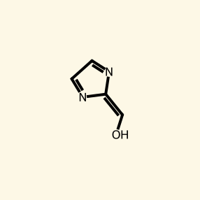 OC=C1N=CC=N1